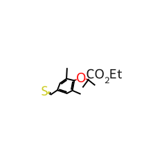 CCOC(=O)C(C)(C)Oc1c(C)cc(C=S)cc1C